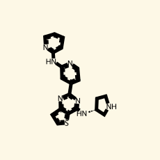 c1ccc(Nc2cc(-c3nc(N[C@@H]4CCNC4)c4sccc4n3)ccn2)nc1